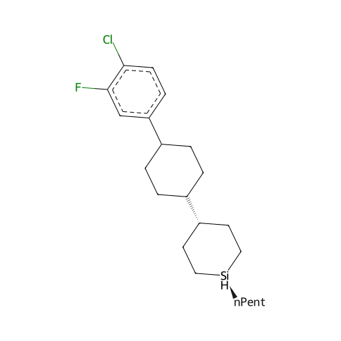 CCCCC[Si@H]1CC[C@H](C2CCC(c3ccc(Cl)c(F)c3)CC2)CC1